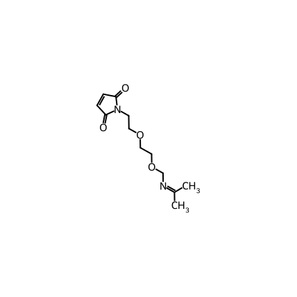 CC(C)=NCOCCOCCN1C(=O)C=CC1=O